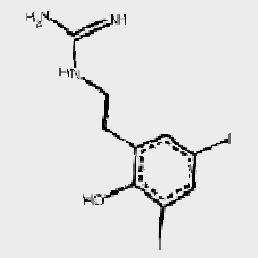 N=C(N)NCCc1cc(I)cc(I)c1O